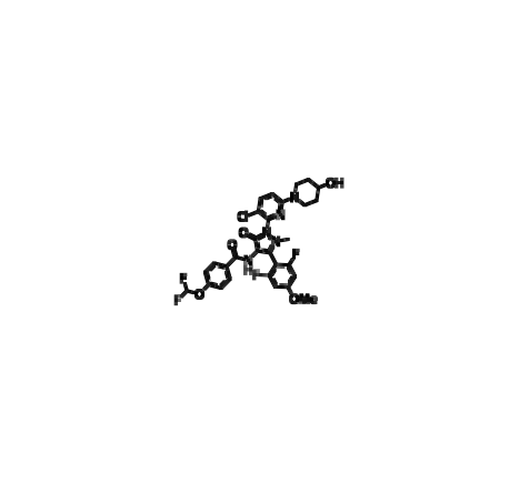 COc1cc(F)c(-c2c(NC(=O)c3ccc(OC(F)F)cc3)c(=O)n(-c3nc(N4CCC(O)CC4)ccc3Cl)n2C)c(F)c1